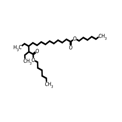 CCCCCCOC(=O)CCCCCCCCCC(CC)C(CC)C(=O)OCCCCCC